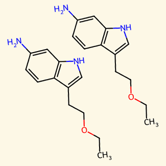 CCOCCc1c[nH]c2cc(N)ccc12.CCOCCc1c[nH]c2cc(N)ccc12